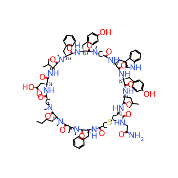 CCCC[C@H]1C(=O)N(C)CC(=O)N[C@@H](CC(=O)O)C(=O)N[C@@H](C(C)C)C(=O)N(C)[C@@H](Cc2ccccc2)C(=O)N[C@@H](Cc2ccc(O)cc2)C(=O)N(C)CC(=O)N[C@@H](Cc2c[nH]c3ccccc23)C(=O)N[C@@H](Cc2ccc(O)cc2)C(=O)N[C@@H](CC(C)C)C(=O)N[C@H](C(=O)NCC(N)=O)CSCC(=O)N[C@@H](Cc2ccccc2)C(=O)N(C)[C@@H](C)C(=O)N1C